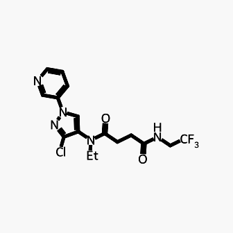 CCN(C(=O)CCC(=O)NCC(F)(F)F)c1cn(-c2cccnc2)nc1Cl